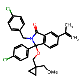 C=C(C)c1ccc2c(c1)C(=O)N(Cc1ccc(Cl)cc1)C2(OCC1(COC)CC1)c1ccc(Cl)cc1